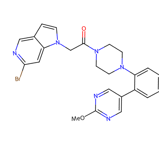 COc1ncc(-c2ccccc2N2CCN(C(=O)Cn3ccc4cnc(Br)cc43)CC2)cn1